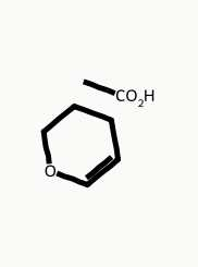 C1=COCCC1.CC(=O)O